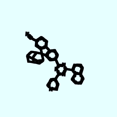 N#Cc1ccc2c(c1)C1(c3cc(-c4nc(-c5ccncc5)nc(-c5cccc6ccccc56)n4)ccc3-2)C2CC3CC(C2)CC1C3